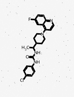 CC(NC(=O)Nc1ccc(Cl)cc1)C1CCN(c2ccnc3ccc(F)cc23)CC1